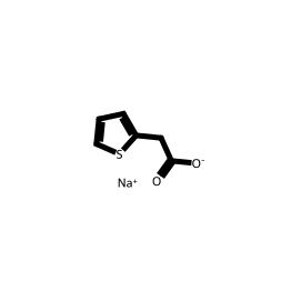 O=C([O-])Cc1cccs1.[Na+]